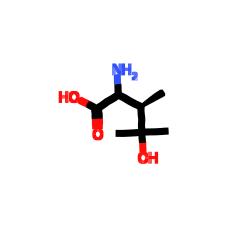 C[C@H](C(N)C(=O)O)C(C)(C)O